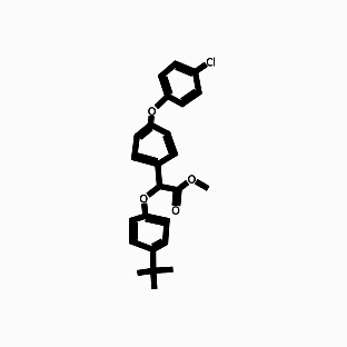 COC(=O)C(Oc1ccc(C(C)(C)C)cc1)c1ccc(Oc2ccc(Cl)cc2)cc1